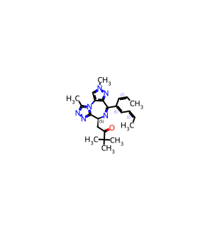 C\C=C/C=C(\C=C/C)C1=N[C@@H](CC(=O)C(C)(C)C)c2nnc(C)n2-c2cn(C)nc21